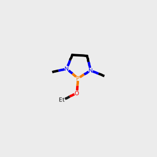 CCOP1N(C)CCN1C